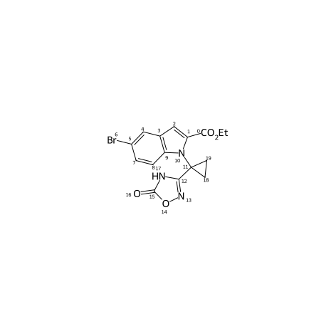 CCOC(=O)c1cc2cc(Br)ccc2n1C1(c2noc(=O)[nH]2)CC1